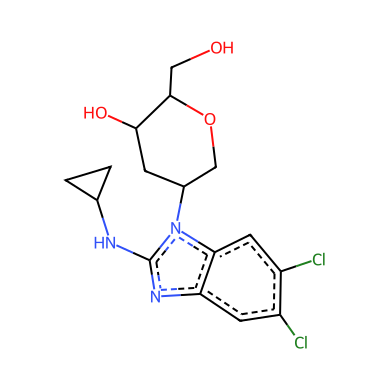 OCC1OCC(n2c(NC3CC3)nc3cc(Cl)c(Cl)cc32)CC1O